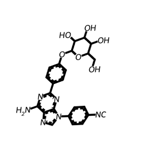 [C-]#[N+]c1ccc(-n2cnc3c(N)nc(-c4ccc(OC5OC(CO)C(O)C(O)C5O)cc4)nc32)cc1